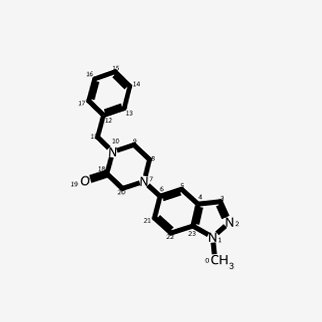 Cn1ncc2cc(N3CCN(Cc4ccccc4)C(=O)C3)ccc21